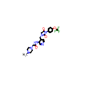 CN1CCN(CC(=O)Nc2cnccc2CN2CC(=O)N(c3ccc(OC(F)(F)F)cc3)C2=O)CC1